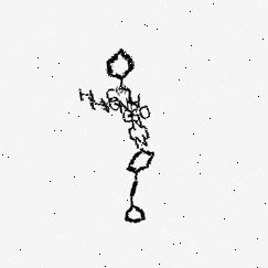 C[C@@H](CC(CS(=O)(=O)N1CCN(c2ccc(C#Cc3ccccc3)cc2)CC1)NO)c1ccccc1